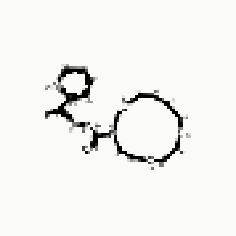 CC(=NNC(=[Se])N1CCCCCCCCCCCC1)c1ccccn1